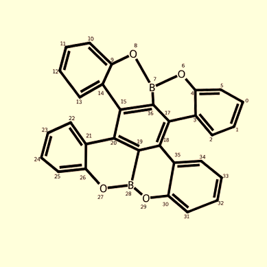 c1ccc2c(c1)OB1Oc3ccccc3-c3c1c-2c1c2c3-c3ccccc3OB2Oc2ccccc2-1